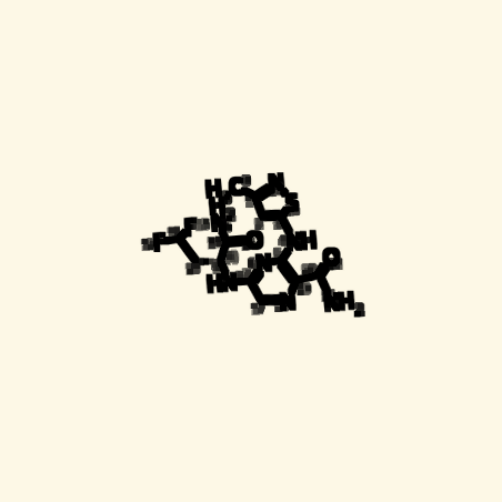 Cc1cc(Nc2nc(N[C@H](CC(F)F)C(N)=O)cnc2C(N)=O)sn1